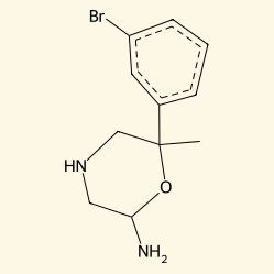 CC1(c2cccc(Br)c2)CNCC(N)O1